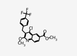 COC(=O)c1ccc2nc(OC)c(Cc3ccc(C(F)(F)F)cc3)c(Cl)c2c1